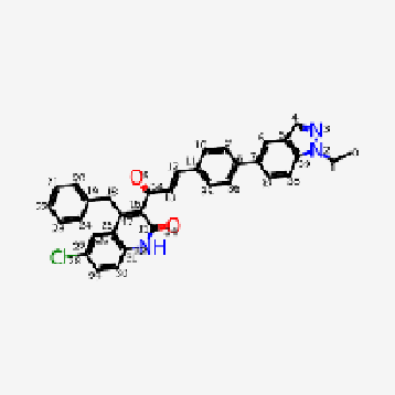 CCn1ncc2cc(-c3ccc(/C=C/C(=O)c4c(Cc5ccccc5)c5cc(Cl)ccc5[nH]c4=O)cc3)ccc21